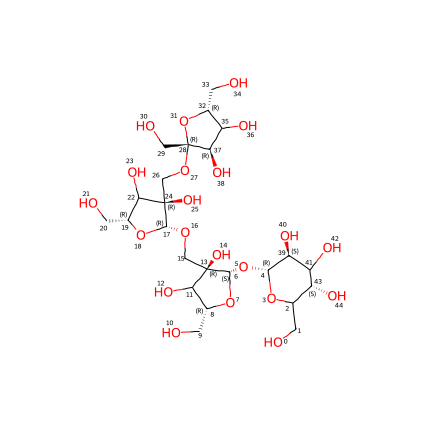 OCC1O[C@H](O[C@@H]2O[C@H](CO)C(O)[C@]2(O)CO[C@@H]2O[C@H](CO)C(O)[C@]2(O)CO[C@]2(CO)O[C@H](CO)C(O)[C@H]2O)[C@@H](O)C(O)[C@@H]1O